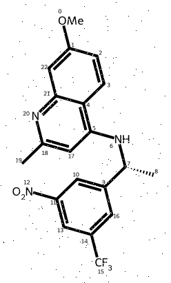 COc1ccc2c(N[C@H](C)c3cc([N+](=O)[O-])cc(C(F)(F)F)c3)cc(C)nc2c1